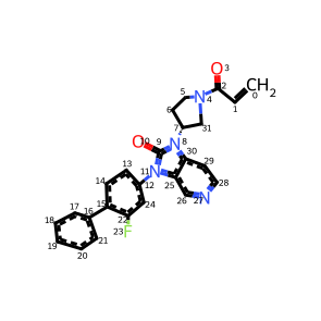 C=CC(=O)N1CC[C@@H](n2c(=O)n(-c3ccc(-c4ccccc4)c(F)c3)c3cnccc32)C1